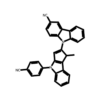 CC1C(n2c3ccccc3c3cc(C#N)ccc32)=Cc2c1c1ccccc1n2-c1ccc(C#N)cc1